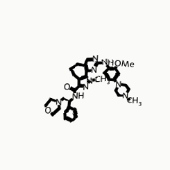 COc1cc(N2CCN(C)CC2)ccc1Nc1ncc2c(n1)-c1c(c(C(=O)N[C@H](CN3CCOCC3)c3ccccc3)nn1C)CCC2